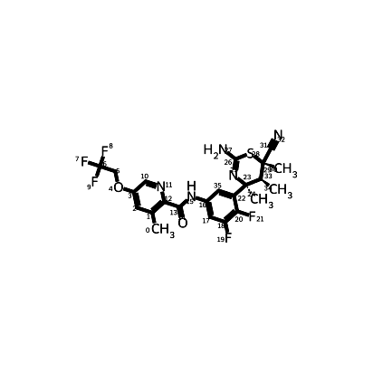 Cc1cc(OCC(F)(F)F)cnc1C(=O)Nc1cc(F)c(F)c([C@@]2(C)N=C(N)S[C@](C)(C#N)[C@H]2C)c1